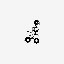 O=C(N[C@H](c1cc[c]cc1)c1ccccc1)c1cnc(-n2cccn2)nc1O